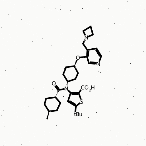 CC(C)(C)c1cc(N(C(=O)[C@H]2CC[C@H](C)CC2)[C@H]2CC[C@H](Oc3cnccc3CN3CCC3)CC2)c(C(=O)O)s1